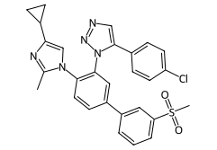 Cc1nc(C2CC2)cn1-c1ccc(-c2cccc(S(C)(=O)=O)c2)cc1-n1nncc1-c1ccc(Cl)cc1